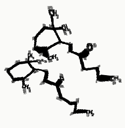 C=CCCC(=O)/C=C/C1C(C)=CCCC1(C)C.C=CCCC(=O)/C=C/C1C(C)=CCCC1(C)C